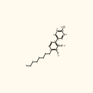 CCCCCCCCc1ccc(-c2cnc(Cl)nc2)c(F)c1F